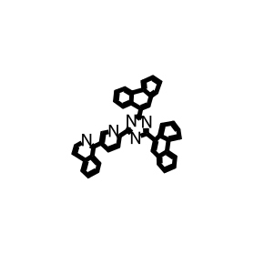 c1ccc2c(-c3ccc(-c4nc(-c5cc6ccccc6c6ccccc56)nc(-c5cc6ccccc6c6ccccc56)n4)nc3)nccc2c1